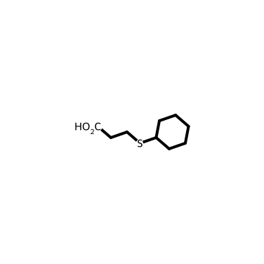 O=C(O)CCSC1CCCCC1